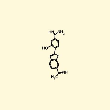 CC(=N)c1ccc2c(c1)CC(c1ccc(C(=N)N)cc1O)=C2